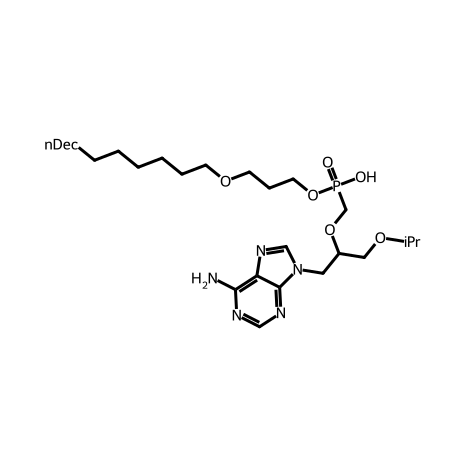 CCCCCCCCCCCCCCCCOCCCOP(=O)(O)COC(COC(C)C)Cn1cnc2c(N)ncnc21